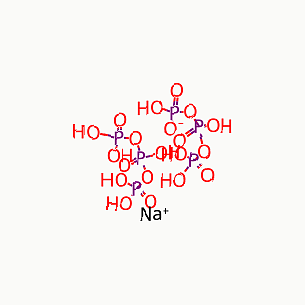 O=P(O)(O)OP(=O)(O)OP(=O)(O)O.O=P([O-])(O)OP(=O)(O)OP(=O)(O)O.[Na+]